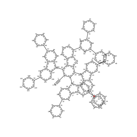 N#Cc1c(-n2c3ccc(-c4ccccc4)cc3c3cc(-c4ccccc4)ccc32)c(-n2c3ccc(-c4ccccc4)cc3c3cc(-c4ccccc4)ccc32)c2oc3c(-c4nc(-c5ccccc5)cc(-c5ccccc5)n4)cccc3c2c1-n1c2ccc(-c3ccccc3)cc2c2cc(-c3ccccc3)ccc21